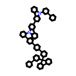 c1ccc(-c2cccc(-n3c4ccccc4c4cc(-c5ccc6c(c5)c5ccccc5n6-c5ccccc5-c5ccc(-c6ccc(-c7cccc(C8(c9cccc(-c%10ccccc%10)c9)c9ccccc9-c9ccccc98)c7)cc6)cc5)ccc43)c2)cc1